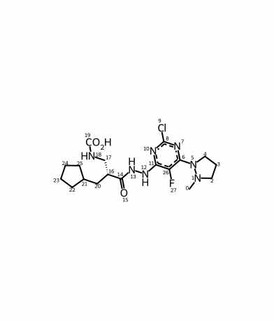 CN1CCCN1c1nc(Cl)nc(NNC(=O)[C@@H](CNC(=O)O)CC2CCCC2)c1F